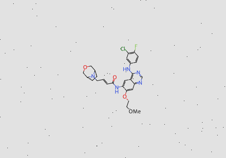 COCCOc1cc2ncnc(Nc3ccc(F)c(Cl)c3)c2cc1NC(=O)/C=C/CN1C2CCC1COC2